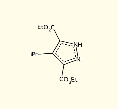 CCOC(=O)c1n[nH]c(C(=O)OCC)c1C(C)C